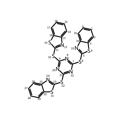 c1ccc2sc(Sc3nc(Sc4nc5ccccc5s4)nc(Sc4nc5ccccc5s4)n3)nc2c1